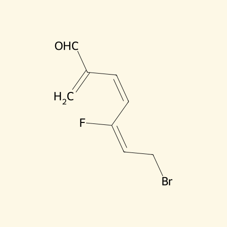 C=C(C=O)/C=C\C(F)=C/CBr